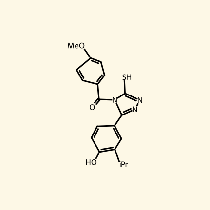 COc1ccc(C(=O)n2c(S)nnc2-c2ccc(O)c(C(C)C)c2)cc1